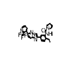 CCc1ccc(-c2cn3nc(-c4cccnc4C(F)(F)F)ccc3n2)cc1NC(=O)N1CCCC1